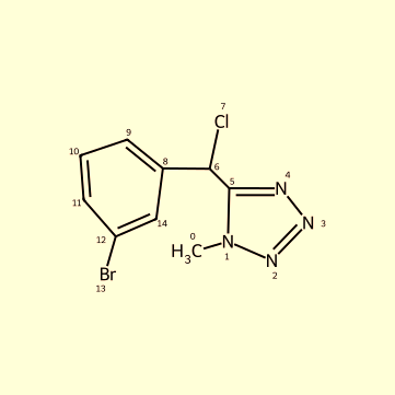 Cn1nnnc1C(Cl)c1cccc(Br)c1